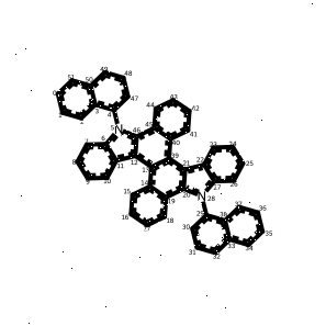 c1ccc2c(-n3c4ccccc4c4c5c6ccccc6c6c(c7ccccc7n6-c6cccc7ccccc67)c5c5ccccc5c43)cccc2c1